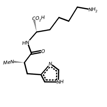 CN[C@@H](Cc1c[nH]cn1)C(=O)N[C@@H](CCCCN)C(=O)O